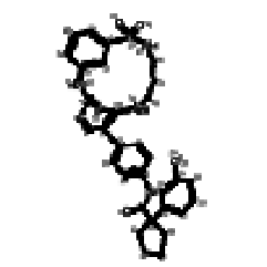 O=C(Nc1ccc(-c2cnc3nc2NCCCNS(=O)(=O)c2cccc(c2)N3)cc1)C1(c2cccc(C(F)(F)F)c2)CCCC1